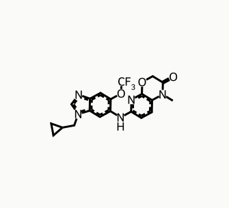 CN1C(=O)COc2nc(Nc3cc4c(cc3OC(F)(F)F)ncn4CC3CC3)ccc21